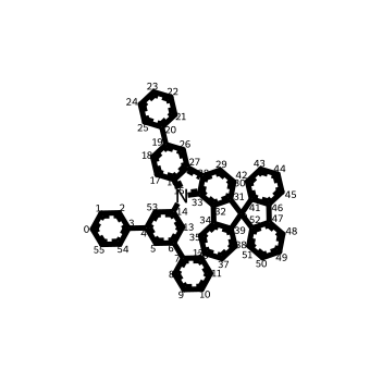 c1ccc(-c2cc(-c3ccccc3)cc(-n3c4ccc(-c5ccccc5)cc4c4ccc5c(c43)-c3ccccc3C53c4ccccc4-c4ccccc43)c2)cc1